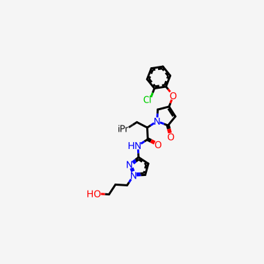 CC(C)CC(C(=O)Nc1ccn(CCCO)n1)N1CC(Oc2ccccc2Cl)=CC1=O